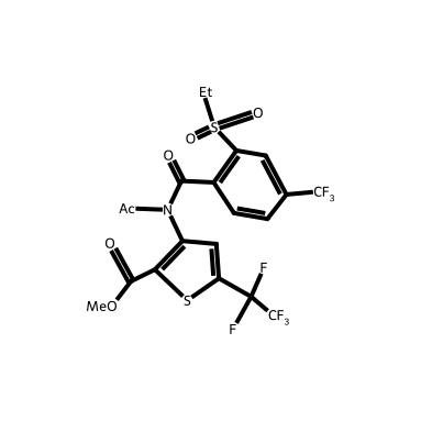 CCS(=O)(=O)c1cc(C(F)(F)F)ccc1C(=O)N(C(C)=O)c1cc(C(F)(F)C(F)(F)F)sc1C(=O)OC